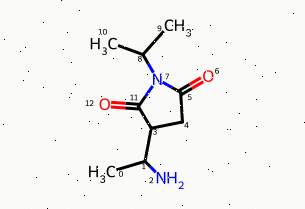 CC(N)C1CC(=O)N(C(C)C)C1=O